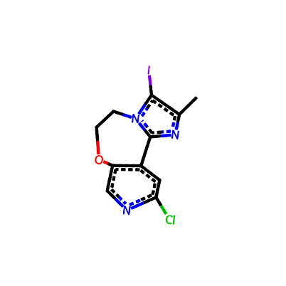 Cc1nc2n(c1I)CCOc1cnc(Cl)cc1-2